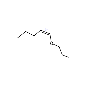 CCC/C=[C]\OCCC